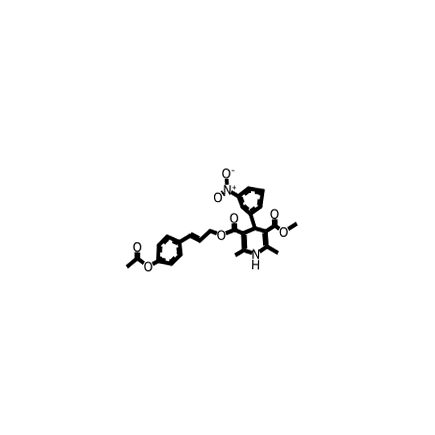 COC(=O)C1=C(C)NC(C)=C(C(=O)OCC=Cc2ccc(OC(C)=O)cc2)C1c1cccc([N+](=O)[O-])c1